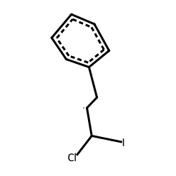 ClC(I)[CH]Cc1ccccc1